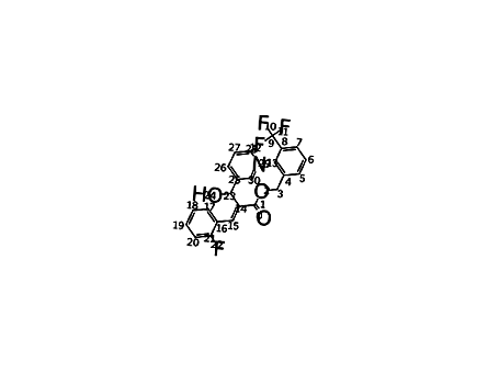 O=C(OCc1cccc(C(F)(F)F)c1)C(=Cc1ccccc1F)C(O)c1cccnc1